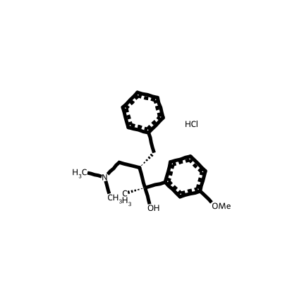 COc1cccc([C@@](C)(O)[C@@H](Cc2ccccc2)CN(C)C)c1.Cl